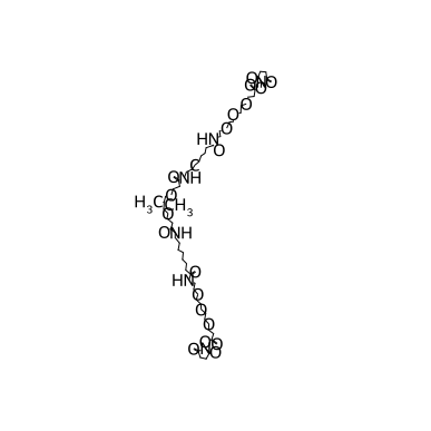 CC(C)(COCCC(=O)NCCCCCCCC(=O)NCCOCCOCCOCCC(=O)ON1C(=O)CCC1=O)COCCC(=O)NCCCCCCCC(=O)NCCOCCOCCOCCC(=O)ON1C(=O)CCC1=O